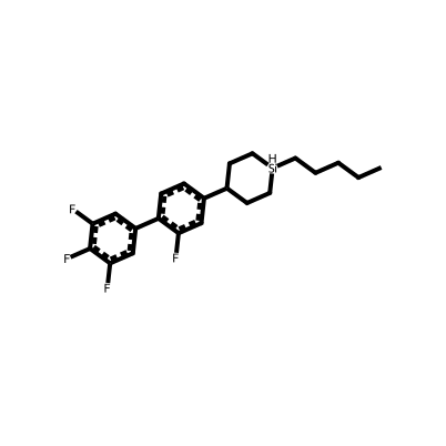 CCCCC[SiH]1CCC(c2ccc(-c3cc(F)c(F)c(F)c3)c(F)c2)CC1